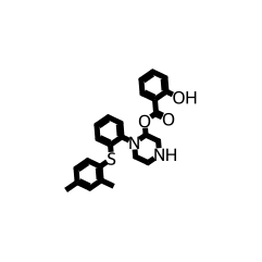 Cc1ccc(Sc2ccccc2N2CCNCC2OC(=O)c2ccccc2O)c(C)c1